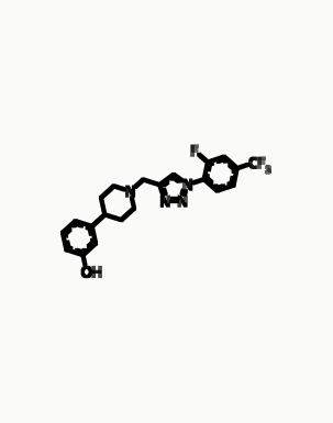 Oc1cccc(C2CCN(Cc3cn(-c4ccc(C(F)(F)F)cc4F)nn3)CC2)c1